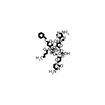 C=CCCC(=O)NC(CC(=O)SCc1ccccc1)C(=O)O[C@H]1[C@@H](O)[C@H](n2cnc3c(N)ncnc32)O[C@@H]1COP(=O)(O)O[C@H]1C[C@H](n2ccc(N)nc2=O)O[C@@H]1COP(=O)(O)O